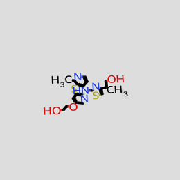 Cc1ncccc1Sc1cc(OCCO)cnc1Nc1nc(C(C)CO)cs1